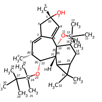 C[C@@H]1C=C2C[C@](C)(O)C=C2[C@@]2(O[Si](C)(C)C)[C@H](C)CC3C([C@@H]2[C@@H]1O[Si](C)(C)C(C)(C)C)C3(C)C